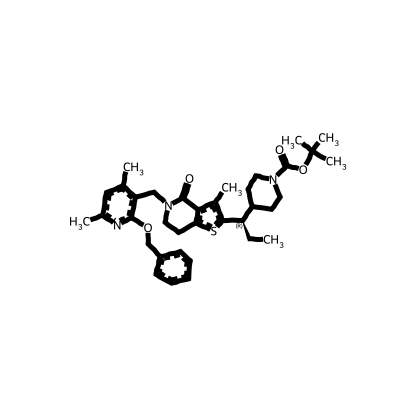 CC[C@@H](c1sc2c(c1C)C(=O)N(Cc1c(C)cc(C)nc1OCc1ccccc1)CC2)C1CCN(C(=O)OC(C)(C)C)CC1